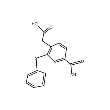 O=C(O)Cc1ccc(C(=O)O)cc1Sc1ccccc1